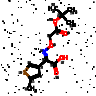 Cc1cc(/C(=N/OCC(=O)OC(C)(C)C)C(=O)O)cs1